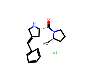 Cl.N#C[C@@H]1CCCN1C(=O)[C@@H]1C/C(=C\c2ccccc2)CN1